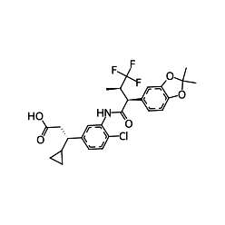 C[C@H]([C@H](C(=O)Nc1cc([C@@H](CC(=O)O)C2CC2)ccc1Cl)c1ccc2c(c1)OC(C)(C)O2)C(F)(F)F